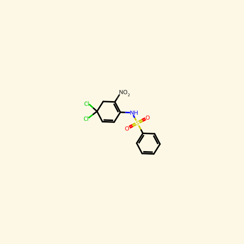 O=[N+]([O-])C1=C(NS(=O)(=O)c2ccccc2)C=CC(Cl)(Cl)C1